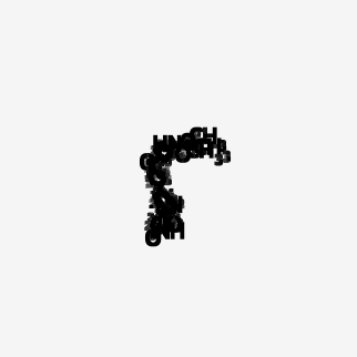 CC(C)(C)OC(=O)Nc1ccc(C(=O)N2CCC(c3ccn4c(N5CCC(=O)NC5=O)cnc4c3)CC2)cc1